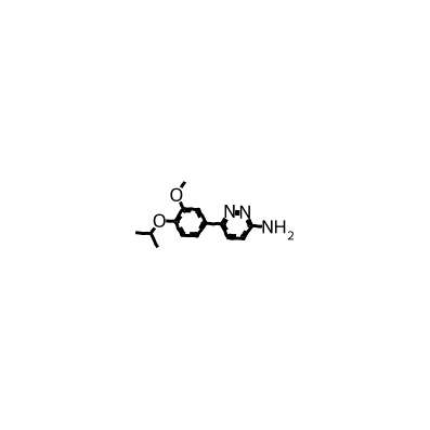 COc1cc(-c2ccc(N)nn2)ccc1OC(C)C